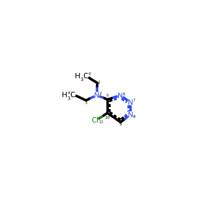 CCN(CC)c1nnncc1Cl